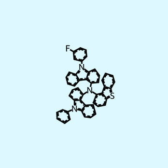 Fc1cccc(-n2c3ccccc3c3c(N(c4cccc5sc6ccccc6c45)c4cccc5c4c4ccccc4n5-c4ccccc4)cccc32)c1